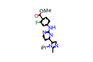 COC(=O)c1ccc(Nc2nccc(-c3cnc(C)n3C(C)C)n2)cc1F